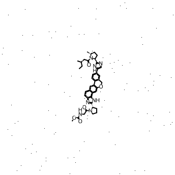 CCC(C)CC(=O)N1C(c2ncc(-c3ccc4c(c3)COc3cc5c(ccc6nc([C@@H]7CCCN7C(=O)CNC(=O)OC)[nH]c65)cc3-4)[nH]2)CC[C@@H]1C